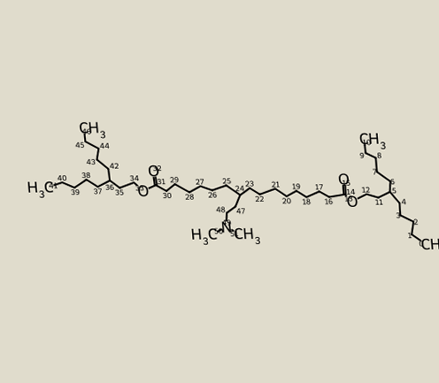 CCCCCC(CCCCC)CCOC(=O)CCCCCCCCC(CCCCCCC(=O)OCCC(CCCCC)CCCCC)CCN(C)C